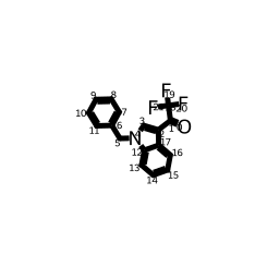 O=C(c1cn(Cc2ccccc2)c2ccccc12)C(F)(F)F